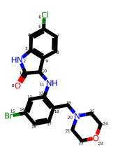 O=C1Nc2cc(Cl)ccc2C1Nc1cc(Br)ccc1CN1CCOCC1